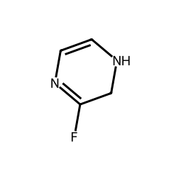 FC1=NC=CNC1